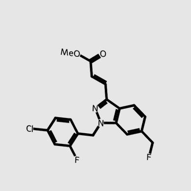 COC(=O)C=Cc1nn(Cc2ccc(Cl)cc2F)c2cc(CF)ccc12